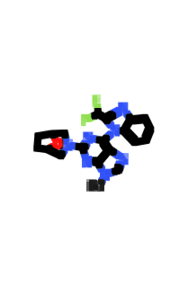 CCC(C)n1cnc2c(-n3c(C(F)F)nc4ccccc43)nc(N3CC4CCC(C3)O4)nc21